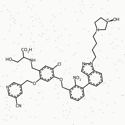 N#Cc1cncc(COc2cc(OCc3cccc(-c4cccc5c4cnn5CCCCN4CC[C@@H](O)C4)c3[N+](=O)[O-])c(Cl)cc2CNC(CO)C(=O)O)c1